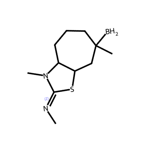 BC1(C)CCCC2C(C1)S/C(=N\C)N2C